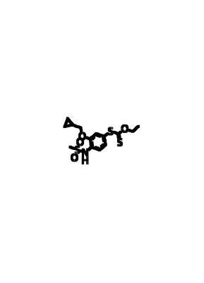 CCOC(=S)Sc1ccc(NS(C)(=O)=O)c(OCC2CC2)c1